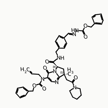 C=CCN(C(=O)OCc1ccccc1)c1cnc2n(c1=O)[C@@H](C(=O)NCc1ccc(C=NNC(=O)OCc3ccccc3)cc1)C[C@@]2(C)CC(=O)N1CCCCC1